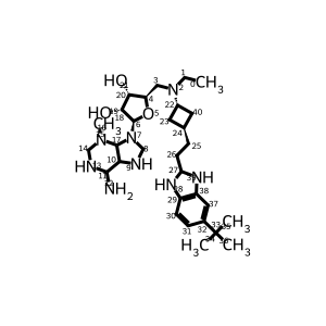 CCN(C[C@H]1O[C@@H](N2CNC3C(N)NCN(C)C32)[C@H](O)[C@@H]1O)[C@H]1C[C@H](CCC2Nc3ccc(C(C)(C)C)cc3N2)C1